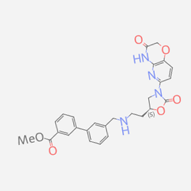 COC(=O)c1cccc(-c2cccc(CNCC[C@H]3CN(c4ccc5c(n4)NC(=O)CO5)C(=O)O3)c2)c1